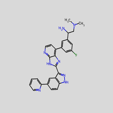 CN(C)CC(N)c1cc(F)cc(-c2ccnc3[nH]c(-c4n[nH]c5ccc(-c6ccccn6)cc45)nc23)c1